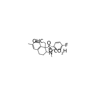 Cc1ccc2c(c1)CCC(N(C)CC(=O)O)C2(CC=O)S(=O)(=O)c1ccc(F)cc1